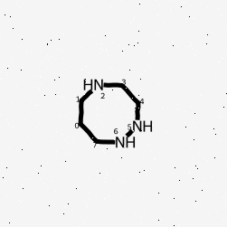 C1CNCCNNC1